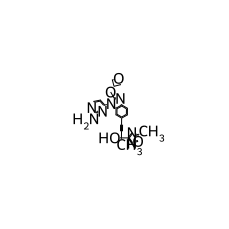 Cc1nc([C@](C)(O)C#Cc2ccc3nc(OC4COC4)n(-c4ccnc(N)n4)c3c2)no1